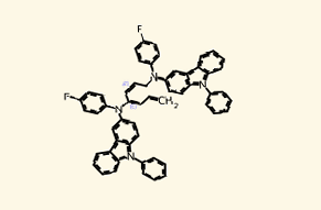 C=C/C=C(\C=C/CN(c1ccc(F)cc1)c1ccc2c(c1)c1ccccc1n2-c1ccccc1)N(c1ccc(F)cc1)c1ccc2c(c1)c1ccccc1n2-c1ccccc1